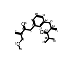 C=C(COC)C(=O)Cc1cccc(CC(=C)C(=O)C(C)C)c1